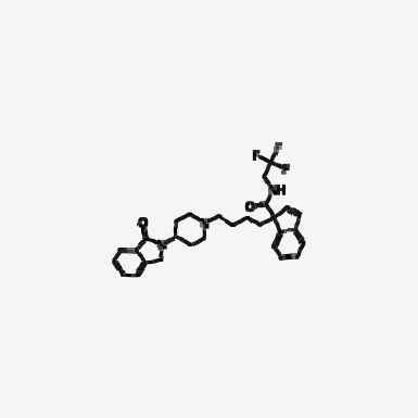 O=C1c2ccccc2CN1C1CCN(CCCCC2(C(=O)NCC(F)(F)F)C=Cc3ccccc32)CC1